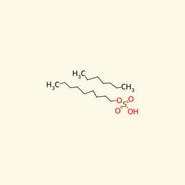 CCCCCCC.CCCCCCCCCOS(=O)(=O)O